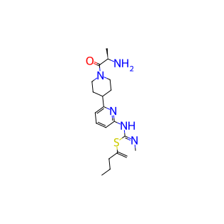 C=C(CCC)S/C(=N\C)Nc1cccc(C2CCN(C(=O)[C@@H](C)N)CC2)n1